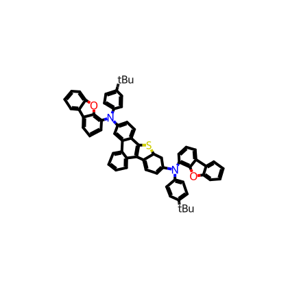 CC(C)(C)c1ccc(N(C2=CC=C3c4c(c5ccc(N(c6ccc(C(C)(C)C)cc6)c6cccc7c6oc6ccccc67)cc5c5ccccc45)SC3C2)c2cccc3c2oc2ccccc23)cc1